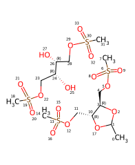 CC1O[C@H](COS(C)(=O)=O)[C@@H](COS(C)(=O)=O)O1.CS(=O)(=O)OC[C@@H](O)[C@H](O)COS(C)(=O)=O